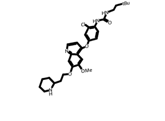 COc1cc2c(Oc3ccc(NC(=O)NCCC(C)(C)C)c(Cl)c3)ccnc2cc1OCCC1CCCCN1